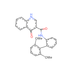 COc1cccc(OC)c1-c1ccccc1NC(=O)c1c[nH]c2ccccc2c1=O